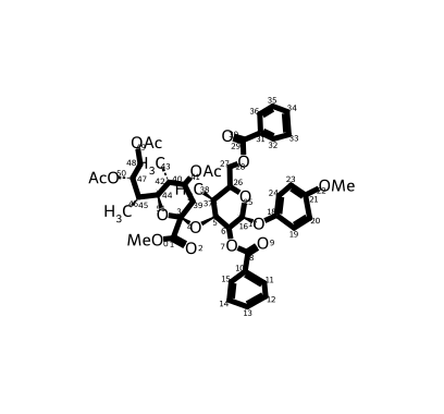 COC(=O)[C@@]1(O[C@@H]2C(OC(=O)c3ccccc3)[C@H](Oc3ccc(OC)cc3)OC(COC(=O)c3ccccc3)[C@@H]2C)CC(OC(C)=O)[C@@H](C)[C@H]([C@H](C)[C@@H](COC(C)=O)OC(C)=O)O1